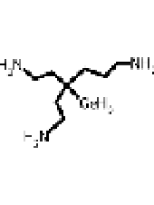 NCCC[C]([GeH3])(CCN)CCN